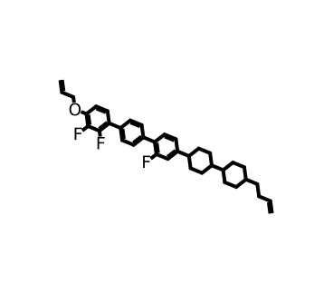 C=CCCC1CCC(C2CCC(c3ccc(-c4ccc(-c5ccc(OCC=C)c(F)c5F)cc4)c(F)c3)CC2)CC1